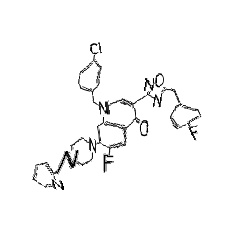 O=c1c(-c2noc(Cc3ccc(F)cc3)n2)cn(Cc2ccc(Cl)cc2)c2cc(N3CCN(c4ccccn4)CC3)c(F)cc12